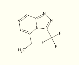 CCc1cncc2nnc(C(F)(F)F)n12